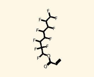 C=CC(=O)OC(F)C(F)(F)C(F)C(F)C(F)C(F)C(F)C(F)F